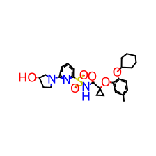 Cc1ccc(OC2CCCCC2)c(OC2(C(=O)NS(=O)(=O)c3cccc(N4CC[C@H](O)C4)n3)CC2)c1